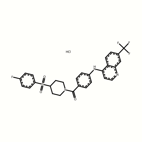 Cl.O=C(c1ccc(Nc2ccnc3cc(C(F)(F)F)ccc23)cc1)N1CCC(S(=O)(=O)c2ccc(F)cc2)CC1